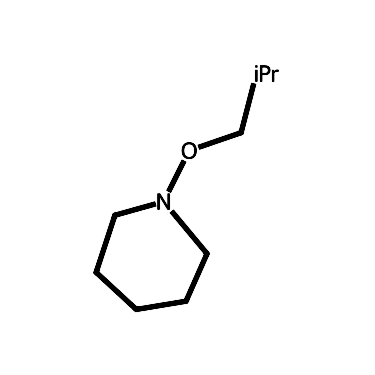 CC(C)CON1CCCCC1